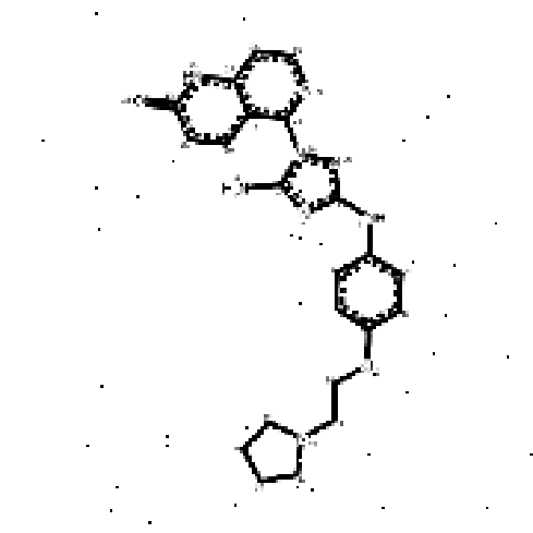 Nc1nc(Nc2ccc(OCCN3CCCC3)cc2)nn1-c1nccc2[nH]c(=O)ccc12